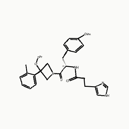 CCCOC1(c2ccccc2C)CN(C(=O)[C@H](Cc2ccc(OC)cc2)NC(=O)CCc2c[nH]cn2)C1